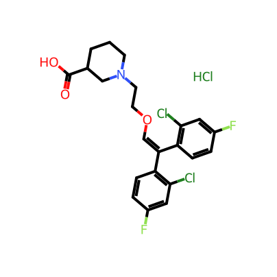 Cl.O=C(O)C1CCCN(CCOC=C(c2ccc(F)cc2Cl)c2ccc(F)cc2Cl)C1